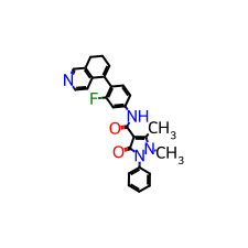 Cc1c(C(=O)Nc2ccc(C3=CCCc4cnccc43)c(F)c2)c(=O)n(-c2ccccc2)n1C